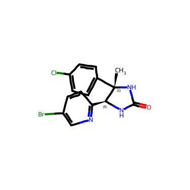 C[C@@]1(c2ccc(Cl)cc2)NC(=O)N[C@H]1c1ccc(Br)cn1